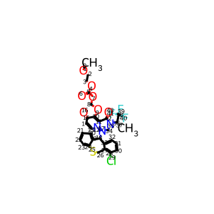 COCCOC(=O)OCOc1c2n(ccc1=O)N([C@@H]1c3ccccc3SCc3c(Cl)cccc31)CN([C@H](C)C(F)(F)F)C2=O